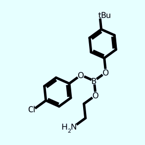 CC(C)(C)c1ccc(OB(OCCN)Oc2ccc(Cl)cc2)cc1